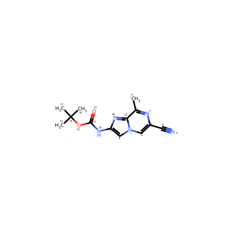 Cc1nc(C#N)cn2cc(NC(=O)OC(C)(C)C)nc12